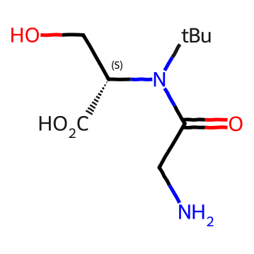 CC(C)(C)N(C(=O)CN)[C@@H](CO)C(=O)O